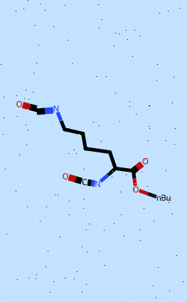 CCCCOC(=O)C(CCCCN=C=O)N=C=O